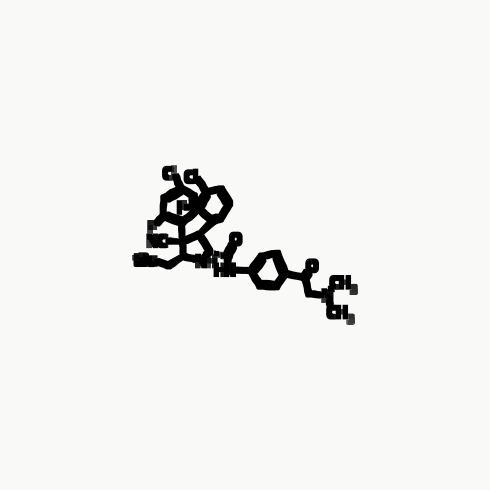 CN(C)CC(=O)c1ccc(NC(=O)[C@@H]2N[C@@H](CC(C)(C)C)[C@](C#N)(c3ccc(Cl)cc3F)[C@H]2c2cccc(Cl)c2F)cc1